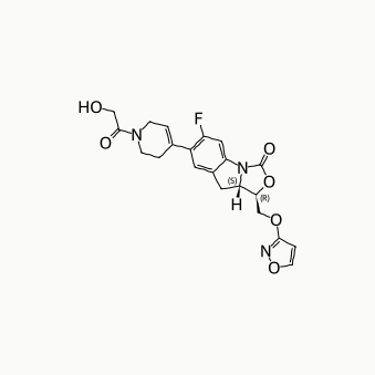 O=C(CO)N1CC=C(c2cc3c(cc2F)N2C(=O)O[C@@H](COc4ccon4)[C@@H]2C3)CC1